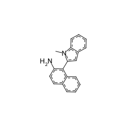 Cn1c(-c2c(N)ccc3ccccc23)cc2ccccc21